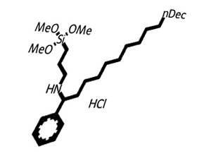 CCCCCCCCCCCCCCCCCCCC(NCCC[Si](OC)(OC)OC)c1ccccc1.Cl